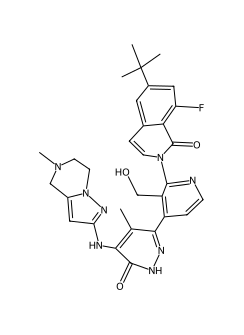 Cc1c(-c2ccnc(-n3ccc4cc(C(C)(C)C)cc(F)c4c3=O)c2CO)n[nH]c(=O)c1Nc1cc2n(n1)CCN(C)C2